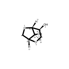 O[C@@H]1[C@@H]2OC[C@H]1O[CH][C@@H]2O